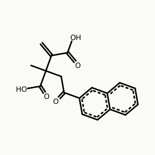 C=C(C(=O)O)C(C)(CC(=O)c1ccc2ccccc2c1)C(=O)O